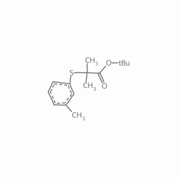 Cc1cccc(SC(C)(C)C(=O)OC(C)(C)C)c1